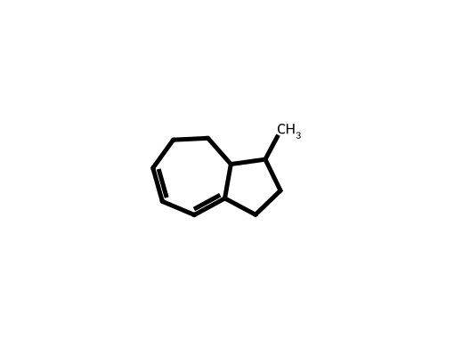 CC1CCC2=CC=CCCC21